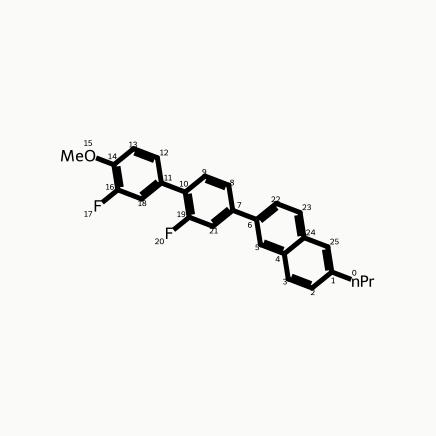 CCCc1ccc2cc(-c3ccc(-c4ccc(OC)c(F)c4)c(F)c3)ccc2c1